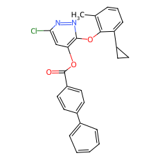 Cc1cccc(C2CC2)c1Oc1nnc(Cl)cc1OC(=O)c1ccc(-c2ccccc2)cc1